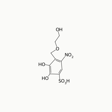 O=[N+]([O-])c1cc(S(=O)(=O)O)c(O)c(O)c1COCCO